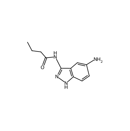 CCCC(=O)Nc1n[nH]c2ccc(N)cc12